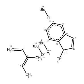 C=CC(C)=CC.CC(C)(C)[O-].CC(C)(C)[O-].CC(C)(C)[O-].[Ti+3][CH]1C=Cc2ccccc21